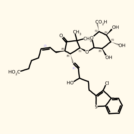 CC1(C)C(=O)[C@H](C/C=C\CCCC(=O)O)[C@@H](/C=C/C(O)CCc2sc3ccccc3c2Cl)[C@@H]1OC1O[C@H](C(=O)O)[C@@H](O)[C@H](O)[C@H]1O